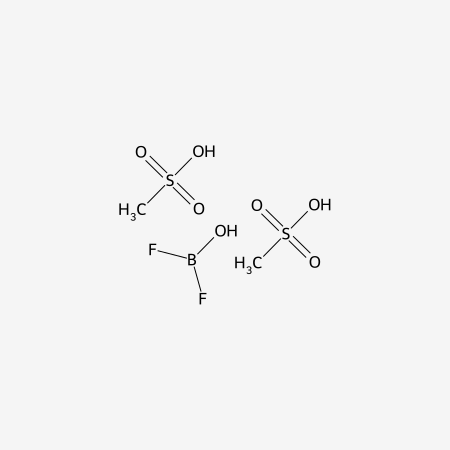 CS(=O)(=O)O.CS(=O)(=O)O.OB(F)F